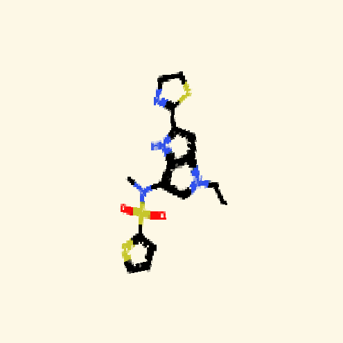 CCn1cc(N(C)S(=O)(=O)c2cccs2)c2[nH]c(C3=NCCS3)cc21